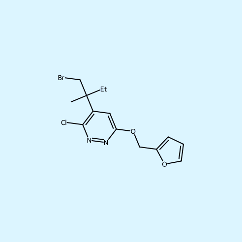 CCC(C)(CBr)c1cc(OCc2ccco2)nnc1Cl